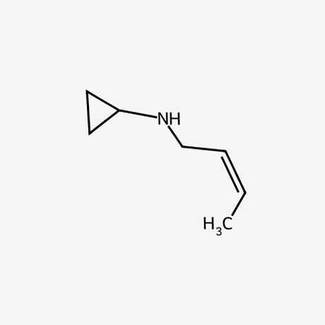 C/C=C\CNC1CC1